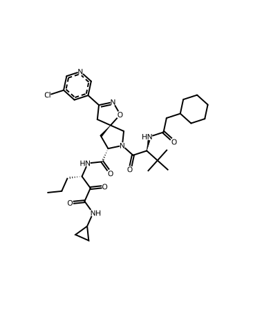 CCC[C@H](NC(=O)[C@@H]1C[C@]2(CC(c3cncc(Cl)c3)=NO2)CN1C(=O)[C@@H](NC(=O)CC1CCCCC1)C(C)(C)C)C(=O)C(=O)NC1CC1